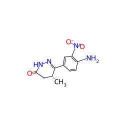 C[C@@H]1CC(=O)NN=C1c1ccc(N)c([N+](=O)[O-])c1